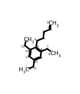 C=CCCCc1c(CC)cc(CC)cc1CC